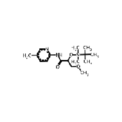 COCC(O[Si](C)(C)C(C)(C)C)C(=O)Nc1ccc(C)cn1